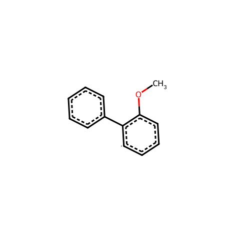 COc1ccc[c]c1-c1ccccc1